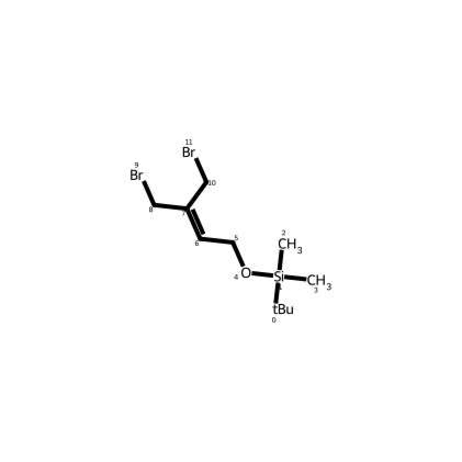 CC(C)(C)[Si](C)(C)OCC=C(CBr)CBr